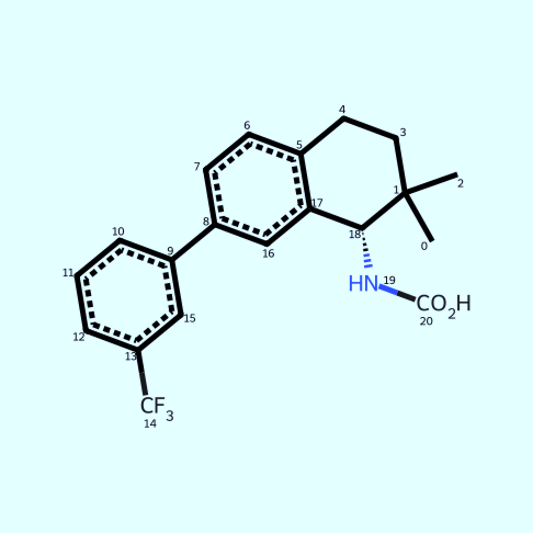 CC1(C)CCc2ccc(-c3cccc(C(F)(F)F)c3)cc2[C@H]1NC(=O)O